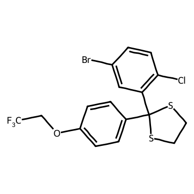 FC(F)(F)COc1ccc(C2(c3cc(Br)ccc3Cl)SCCS2)cc1